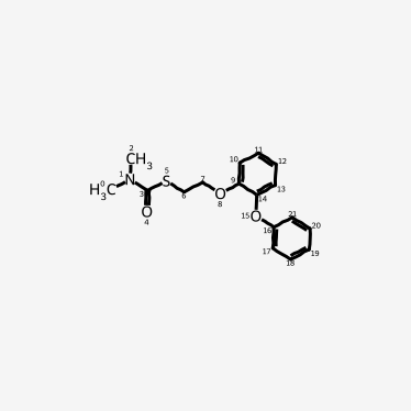 CN(C)C(=O)SCCOc1ccccc1Oc1ccccc1